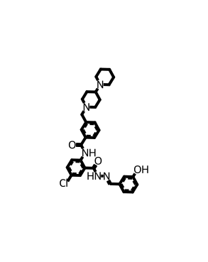 O=C(Nc1ccc(Cl)cc1C(=O)NN=Cc1cccc(O)c1)c1cccc(CN2CCC(N3CCCCC3)CC2)c1